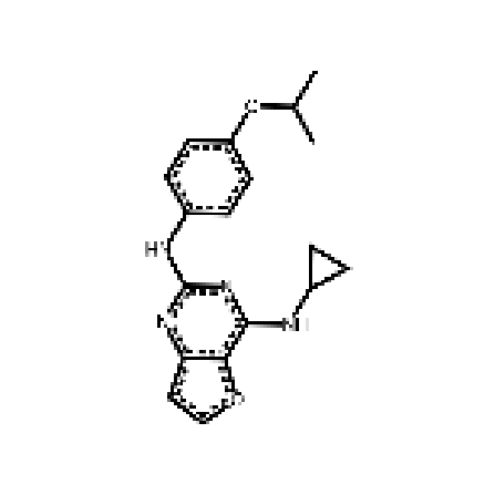 CC(C)Oc1ccc(Nc2nc(NC3CC3)c3occc3n2)cc1